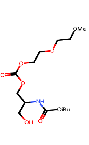 COCCOCCOC(=O)OCC(CO)NC(=O)OCC(C)C